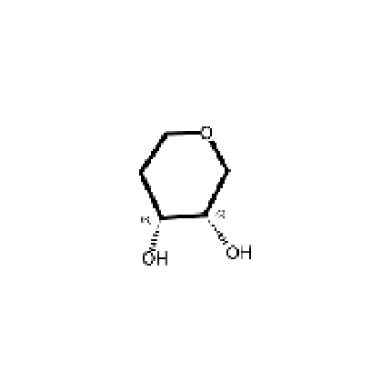 O[C@@H]1CCOC[C@@H]1O